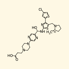 C[C@@H]1CCCN1Cc1sc(NC(O)c2cnc(N3CCN(CCC(=O)O)CC3)cn2)nc1-c1cc(Cl)cs1